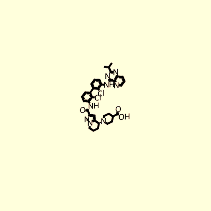 CC(C)c1nc(Nc2cccc(-c3cccc(NC(=O)c4cc5n(n4)CCC[C@@H]5N4CCC(C(=O)O)CC4)c3Cl)c2Cl)c2ncccc2n1